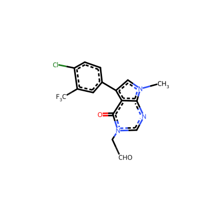 Cn1cc(-c2ccc(Cl)c(C(F)(F)F)c2)c2c(=O)n(CC=O)cnc21